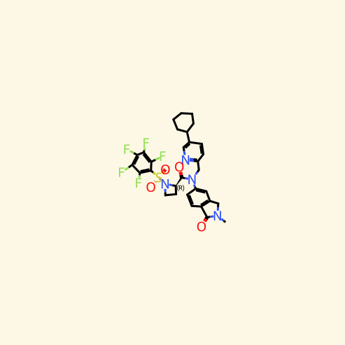 CN1Cc2cc(N(Cc3ccc(C4CCCCC4)cn3)C(=O)[C@H]3CCN3S(=O)(=O)c3c(F)c(F)c(F)c(F)c3F)ccc2C1=O